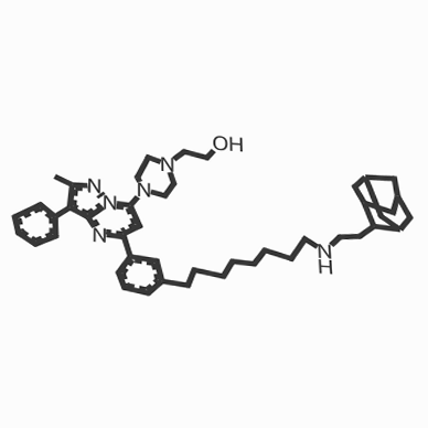 Cc1nn2c(N3CCN(CCO)CC3)cc(-c3cccc(CCCCCCCCNCCC4C5CC6CC(C5)CC4C6)c3)nc2c1-c1ccccc1